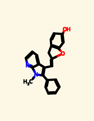 Cn1c(-c2ccccc2)c(C=C2Cc3ccc(O)cc3O2)c2cccnc21